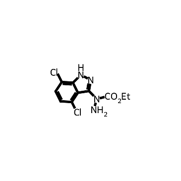 CCOC(=O)N(N)c1n[nH]c2c(Cl)ccc(Cl)c12